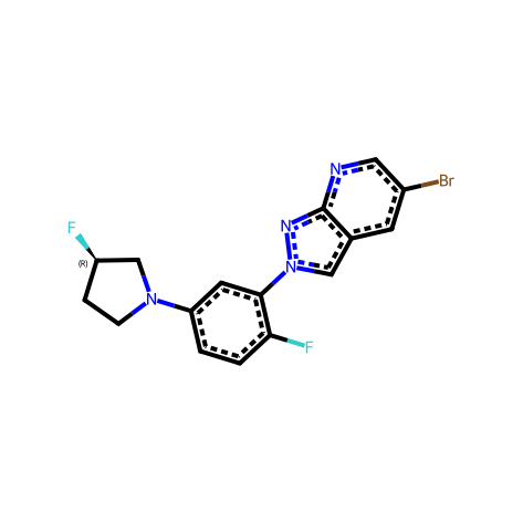 Fc1ccc(N2CC[C@@H](F)C2)cc1-n1cc2cc(Br)cnc2n1